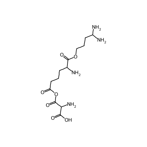 NC(N)CCCOC(=O)C(N)CCCC(=O)OC(=O)C(N)C(=O)O